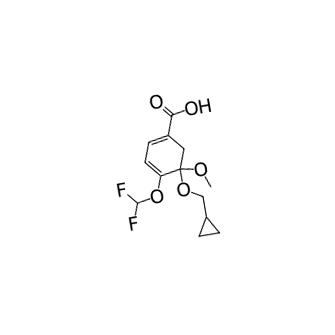 COC1(OCC2CC2)CC(C(=O)O)=CC=C1OC(F)F